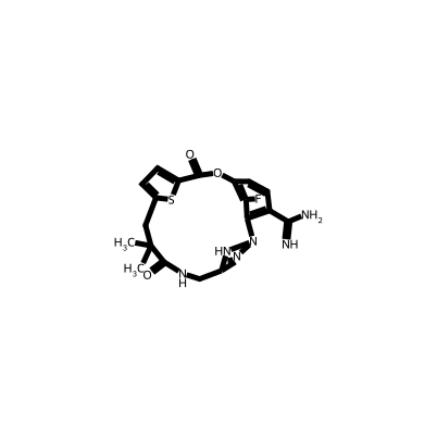 CC1(C)Cc2ccc(s2)C(=O)Oc2ccc(C(=N)N)c(c2F)-n2nc([nH]2)CNC1=O